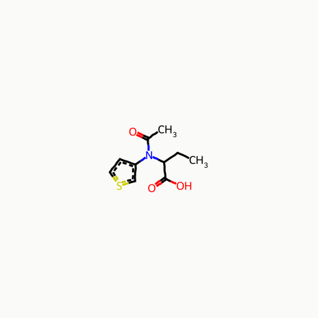 CCC(C(=O)O)N(C(C)=O)c1ccsc1